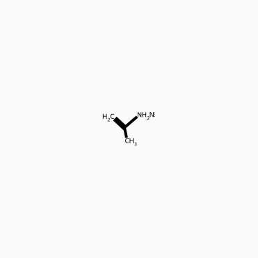 C=C(C)N.[N]